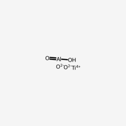 [O-2].[O-2].[O]=[Al][OH].[Ti+4]